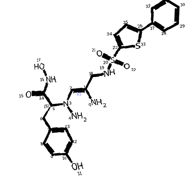 N/C(=C\N(N)[C@@H](Cc1ccc(O)cc1)C(=O)NO)CNS(=O)(=O)c1ccc(-c2ccccc2)s1